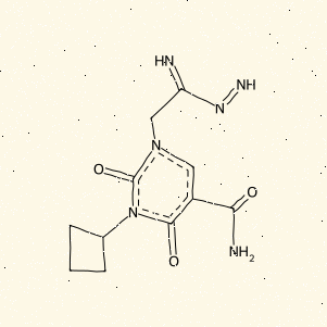 N=NC(=N)Cn1cc(C(N)=O)c(=O)n(C2CCC2)c1=O